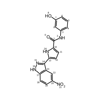 O=C(Nc1cccc(O)c1)c1ccc(-c2n[nH]c3ccc([N+](=O)[O-])cc23)[nH]1